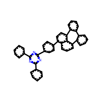 c1ccc(-c2nc(-c3ccccc3)nc(-c3ccc(-c4ccc5c6c(cccc46)-c4ccccc4-c4ccccc4-5)cc3)n2)cc1